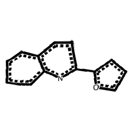 [c]1cc2ccccc2nc1-c1ccco1